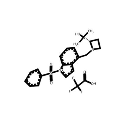 CC(C)(O)[C@@H]1CCN1Cc1cccc2c1ccn2S(=O)(=O)c1ccccc1.O=C(O)C(F)(F)F